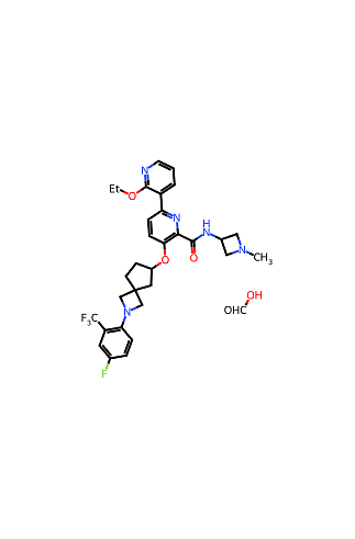 CCOc1ncccc1-c1ccc(OC2CCC3(C2)CN(c2ccc(F)cc2C(F)(F)F)C3)c(C(=O)NC2CN(C)C2)n1.O=CO